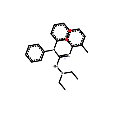 CCP(CC)N/C(=N/c1c(C)cccc1C)N(c1ccccc1)c1ccccc1